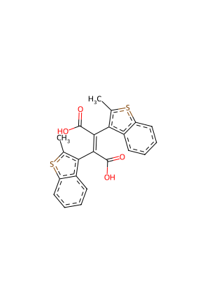 Cc1sc2ccccc2c1C(C(=O)O)=C(C(=O)O)c1c(C)sc2ccccc12